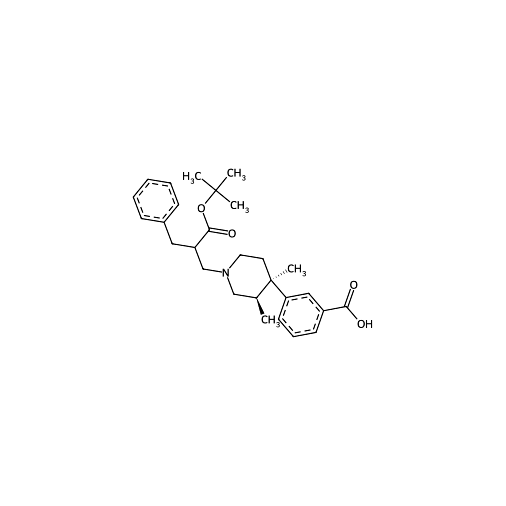 C[C@H]1CN(CC(Cc2ccccc2)C(=O)OC(C)(C)C)CC[C@@]1(C)c1cccc(C(=O)O)c1